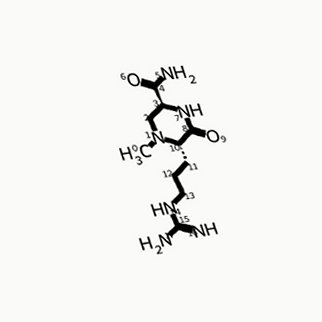 CN1C[C@@H](C(N)=O)NC(=O)[C@@H]1CCCNC(=N)N